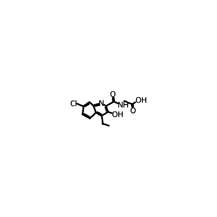 CCc1c(O)c(C(=O)NCC(=O)O)nc2cc(Cl)ccc12